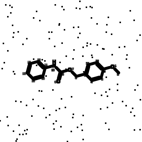 COc1ccc(COC(=O)Nc2ccccc2)cc1